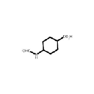 O=[C]NC1CCC(C(=O)O)CC1